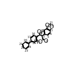 O=C(O)C(c1ccc2c(c1)OCO2)C(O)c1ccc(-c2ccccc2)cc1